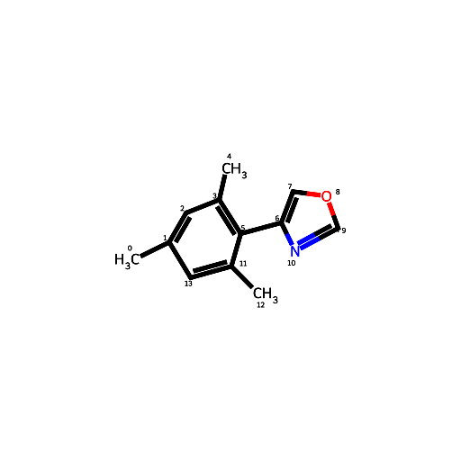 Cc1cc(C)c(-c2co[c]n2)c(C)c1